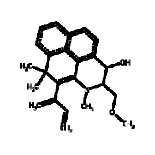 C=CC(=C)C1=C2c3c(ccc4cccc(c34)C1(C)C)C(O)C(COC)N2C